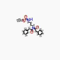 CC(C)(C)OC(=O)NCCCCN(C(=O)Cc1ccccc1)C(=O)Cc1ccccc1